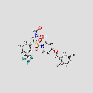 Cc1ccc(C)c(COC2CCN(S(=O)(=O)C(CN(O)C=O)c3cccc(C(F)(F)F)c3)CC2)c1